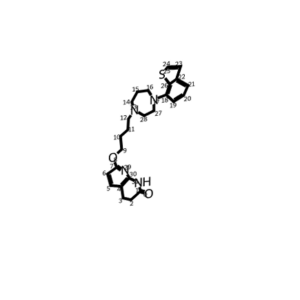 O=C1CCc2ccc(OCCCCN3CCCN(c4cccc5ccsc45)CC3)nc2N1